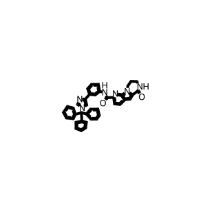 O=C(Nc1cccc(-c2cn(C(c3ccccc3)(c3ccccc3)c3ccccc3)cn2)c1)c1ccc2cc3n(c2n1)CCCNC3=O